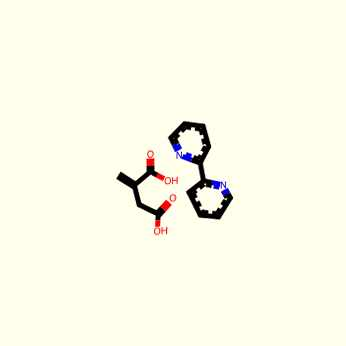 C=C(CC(=O)O)C(=O)O.c1ccc(-c2ccccn2)nc1